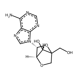 Nc1ncnc2c1ncn2[C@@H]1OC2(CO)CO[C@@H]1[C@@H]2O